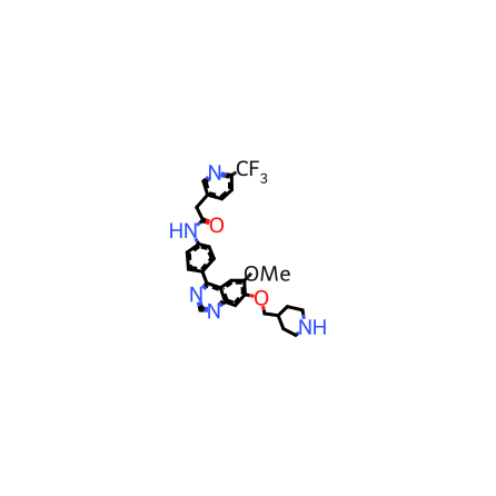 COc1cc2c(-c3ccc(NC(=O)Cc4ccc(C(F)(F)F)nc4)cc3)ncnc2cc1OCC1CCNCC1